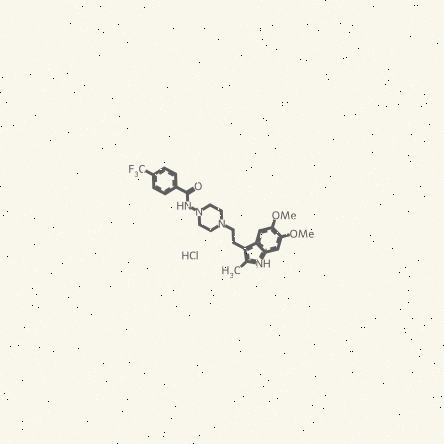 COc1cc2[nH]c(C)c(CCN3CCN(NC(=O)c4ccc(C(F)(F)F)cc4)CC3)c2cc1OC.Cl